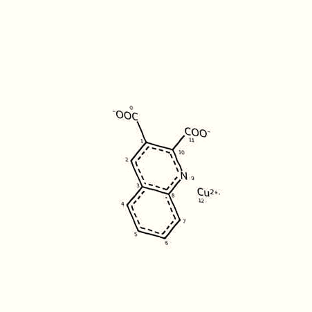 O=C([O-])c1cc2ccccc2nc1C(=O)[O-].[Cu+2]